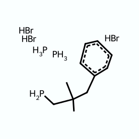 Br.Br.Br.CC(C)(CP)Cc1ccccc1.P.P